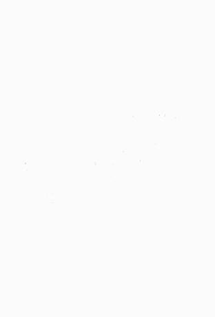 COc1ccc(C(=O)C(=O)/C=C/C(=O)O)cc1